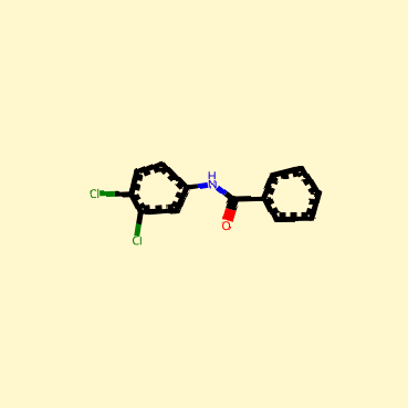 O=C(Nc1ccc(Cl)c(Cl)c1)c1c[c]ccc1